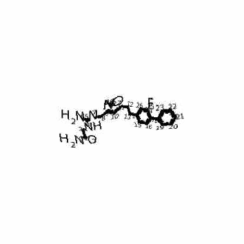 NC(=O)CNC(N)=NCc1cc(CCc2ccc(-c3ccccc3)c(F)c2)on1